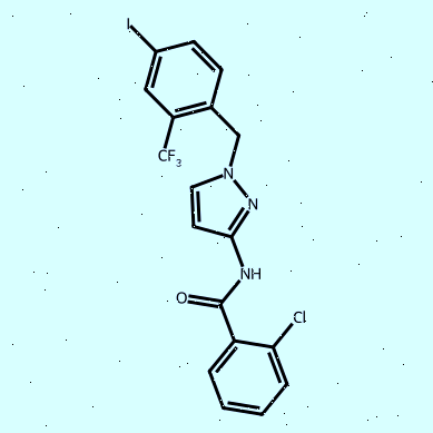 O=C(Nc1ccn(Cc2ccc(I)cc2C(F)(F)F)n1)c1ccccc1Cl